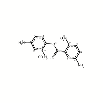 Nc1ccc(OC(=O)c2cc(N)ccc2[N+](=O)[O-])c(C(=O)O)c1